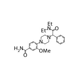 CCN(CC)C(=O)C(c1ccccc1)N1CCN(c2ccc(C(N)=O)cc2OC)CC1